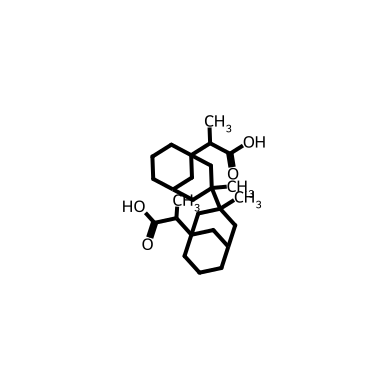 CC(C(=O)O)C12CCCC(C1)CC(C)(C1(C)CC3CCCC(C(C)C(=O)O)(C3)C1)C2